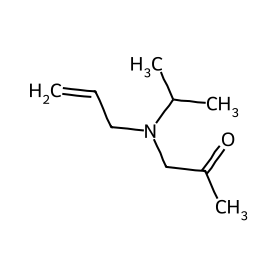 C=CCN(CC(C)=O)C(C)C